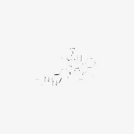 Nc1cc(C[C@@H]2C(=O)N(C(=O)NC(C3CCCCC3)C(F)(F)F)[C@@H]2C(=O)NC2CC2)ccn1